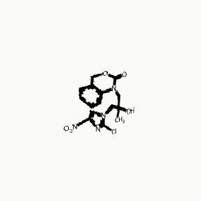 CC(O)(CN1C(=O)OCc2ccccc21)Cn1cc([N+](=O)[O-])nc1Cl